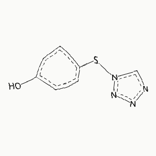 Oc1ccc(Sn2cnnn2)cc1